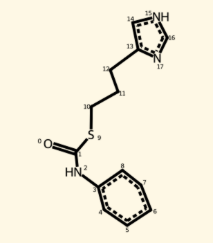 O=C(Nc1ccccc1)SCCCc1c[nH]cn1